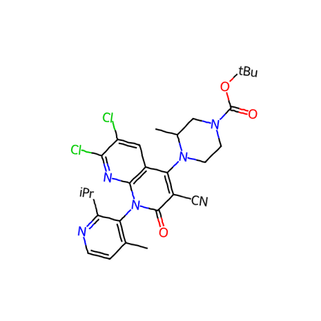 Cc1ccnc(C(C)C)c1-n1c(=O)c(C#N)c(N2CCN(C(=O)OC(C)(C)C)CC2C)c2cc(Cl)c(Cl)nc21